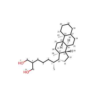 C[C@H](CCCC(CO)CO)[C@H]1CC[C@H]2[C@@H]3CCC4CCCC[C@]4(C)[C@H]3CC[C@]12C